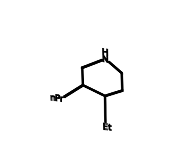 CCCC1CNCCC1CC